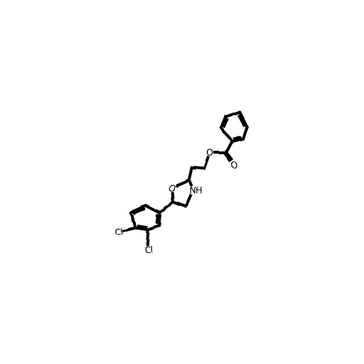 O=C(OCCC1NCC(c2ccc(Cl)c(Cl)c2)O1)c1ccccc1